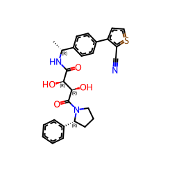 C[C@@H](NC(=O)[C@H](O)[C@@H](O)C(=O)N1CCC[C@@H]1c1ccccc1)c1ccc(-c2ccsc2C#N)cc1